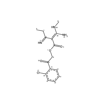 CCC(=N)/C(C(=O)OCC(=O)c1ccccc1Cl)=C(/N)NC